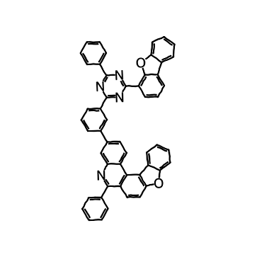 c1ccc(-c2nc(-c3cccc(-c4ccc5c(c4)nc(-c4ccccc4)c4ccc6oc7ccccc7c6c45)c3)nc(-c3cccc4c3oc3ccccc34)n2)cc1